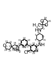 CC1(CN[C@H]2CC[C@H](Nc3cc(-c4cccc(NCC5(N)CCOCC5)n4)c(Cl)cn3)CC2)OCCO1